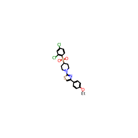 CCOc1ccc(-c2csc(N3CCC(S(=O)(=O)c4ccc(Cl)cc4Cl)CC3)n2)cc1